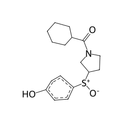 O=C(C1CCCCC1)N1CCC([S+]([O-])c2ccc(O)cc2)C1